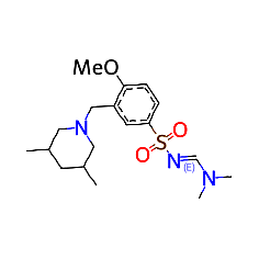 COc1ccc(S(=O)(=O)/N=C/N(C)C)cc1CN1CC(C)CC(C)C1